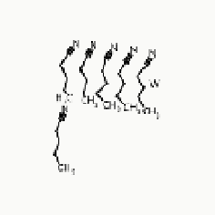 CCCCC#N.CCCCC#N.CCCCC#N.CCCCC#N.CCCCC#N.CCCCC#N.[W]